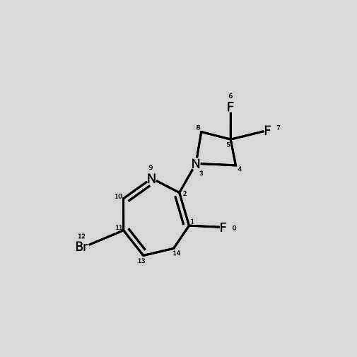 FC1=C(N2CC(F)(F)C2)N=CC(Br)=CC1